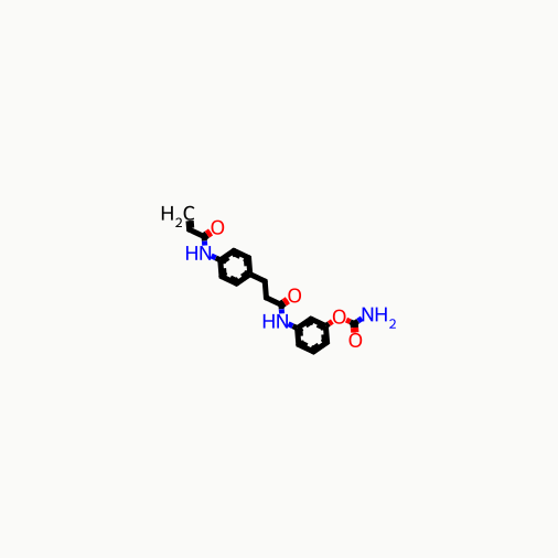 C=CC(=O)Nc1ccc(CCC(=O)Nc2cccc(OC(N)=O)c2)cc1